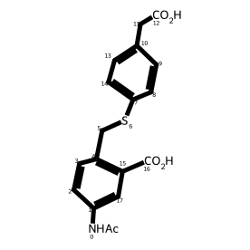 CC(=O)Nc1ccc(CSc2ccc(CC(=O)O)cc2)c(C(=O)O)c1